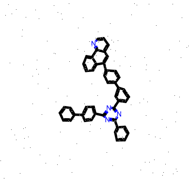 c1ccc(-c2ccc(-c3nc(-c4ccccc4)nc(-c4cccc(-c5ccc(-c6cc7cccnc7c7ccccc67)cc5)c4)n3)cc2)cc1